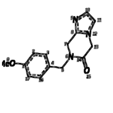 COc1ccc(CN2Cc3nccn3CC2=O)cc1